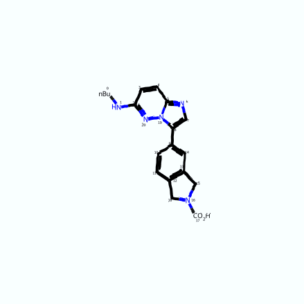 CCCCNc1ccc2ncc(-c3ccc4c(c3)CN(C(=O)O)C4)n2n1